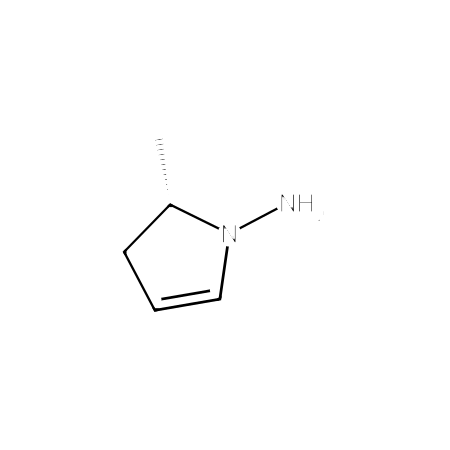 C[C@H]1CC=CN1N